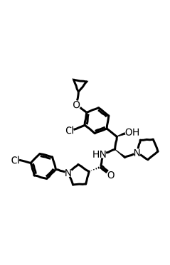 O=C(N[C@H](CN1CCCC1)[C@H](O)c1ccc(OC2CC2)c(Cl)c1)[C@@H]1CCN(c2ccc(Cl)cc2)C1